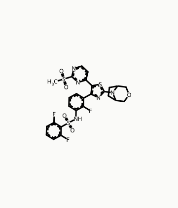 CS(=O)(=O)c1nccc(-c2sc(N3C4CCC3COC4)nc2-c2cccc(NS(=O)(=O)c3c(F)cccc3F)c2F)n1